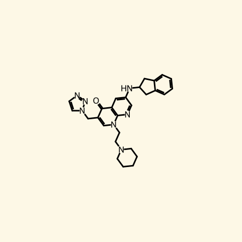 O=c1c(Cn2ccnn2)cn(CCN2CCCCC2)c2ncc(NC3Cc4ccccc4C3)cc12